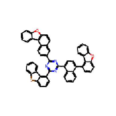 c1ccc2c(c1)oc1cccc(-c3ccc(-c4nc(-c5ccc6c(ccc7oc8ccccc8c76)c5)nc(-c5cccc6sc7ccccc7c56)n4)c4ccccc34)c12